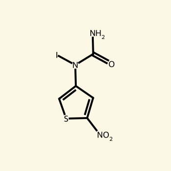 NC(=O)N(I)c1csc([N+](=O)[O-])c1